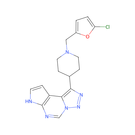 Clc1ccc(CN2CCC(c3nnn4cnc5[nH]ccc5c34)CC2)o1